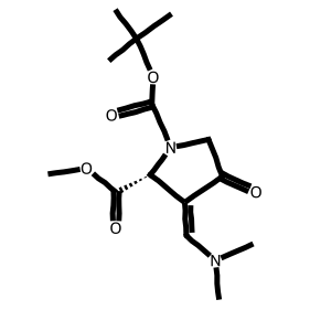 COC(=O)[C@H]1/C(=C/N(C)C)C(=O)CN1C(=O)OC(C)(C)C